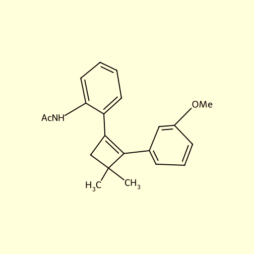 COc1cccc(C2=C(c3ccccc3NC(C)=O)CC2(C)C)c1